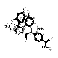 CCNC(=O)c1ccc(NC(=O)[C@@H]2N[C@@H](CC(C)(C)C)[C@](C#N)(c3ccc(Cl)cc3F)[C@H]2c2cccc(Cl)c2F)c(OC)c1